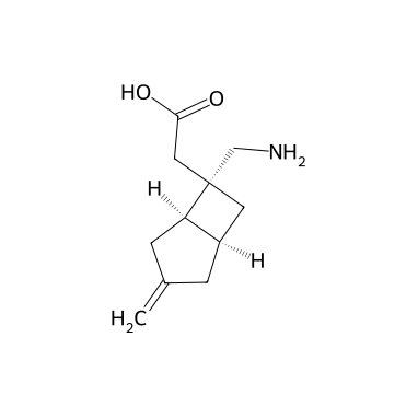 C=C1C[C@@H]2C[C@](CN)(CC(=O)O)[C@@H]2C1